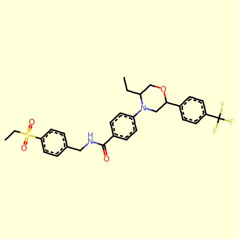 CCC1COC(c2ccc(C(F)(F)F)cc2)CN1c1ccc(C(=O)NCc2ccc(S(=O)(=O)CC)cc2)cc1